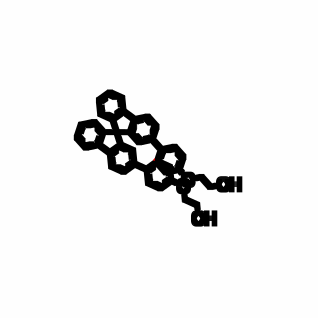 OCCOc1ccc(-c2ccc3c(c2)C2(c4ccccc4-3)c3ccccc3-c3ccc(-c4ccc(OCCO)cc4)cc32)cc1